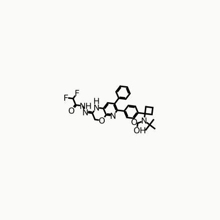 CC(C)(C)N(C(=O)O)C1(c2ccc(-c3nc4c(cc3-c3ccccc3)NC(=NNC(=O)C(F)F)CO4)cc2)CCC1